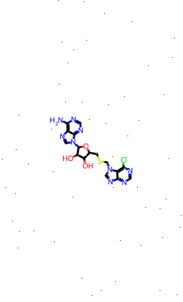 Nc1ncnc2c1ncn2C1OC(CSCn2cnc3ncnc(Cl)c32)C(O)C1O